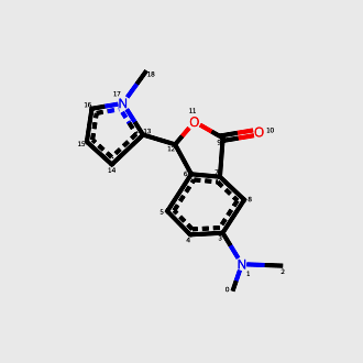 CN(C)c1ccc2c(c1)C(=O)OC2c1cccn1C